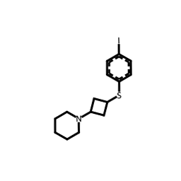 Ic1ccc(SC2CC(N3CCCCC3)C2)cc1